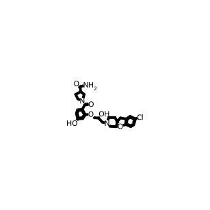 NC(=O)C1CCN(C(=O)c2ccc(O)cc2OC[C@@H](O)CN2CCC3(CC2)Cc2cc(Cl)ccc2O3)C1